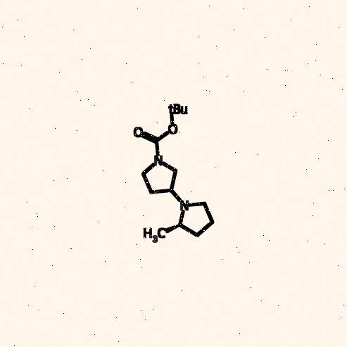 C[C@@H]1CCCN1C1CCN(C(=O)OC(C)(C)C)C1